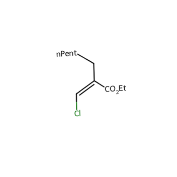 CCCCCCC(=CCl)C(=O)OCC